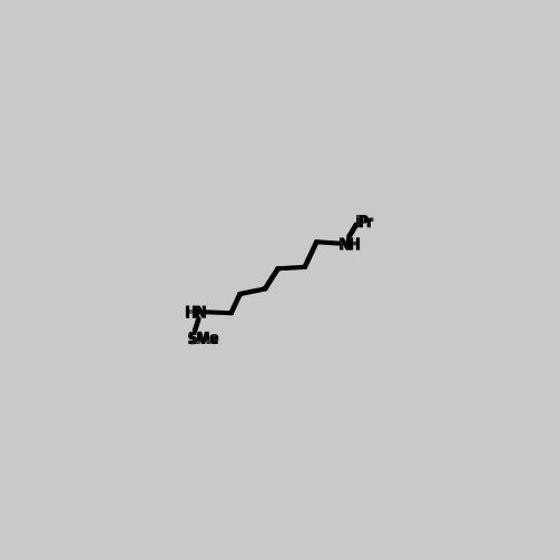 CSNCCCCCCNC(C)C